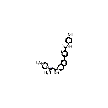 CN1CCN(/C(N)=C/C(=N)N2CCc3ccc(-c4ccc(C(=O)N[C@H]5CC[C@H](O)CC5)nc4)cc3C2)CC1